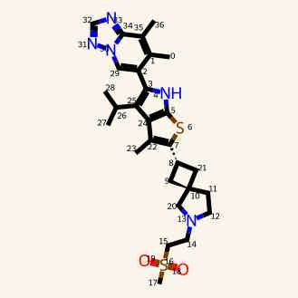 Cc1c(-c2[nH]c3sc([C@H]4C[C@]5(CCN(CCS(C)(=O)=O)C5)C4)c(C)c3c2C(C)C)cn2ncnc2c1C